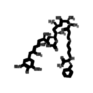 CNc1cc(C/C(C)=C/C=C/[C@@H](OC)[C@@]2(O)C[C@@H]([C@@H](C)C[C@@H](C)/C=C(\O)[C@H](C)N(C)C(=O)CCSCCCN[C@H](Cc3ccccc3)C(N)=O)OC(=O)N2)cc(OC)c1Cl